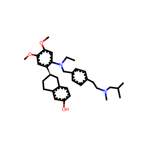 CCN(Cc1ccc(CCN(C)CC(C)C)cc1)c1cc(OC)c(OC)cc1[C@@H]1CCc2cc(O)ccc2C1